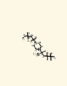 BC(C)(CC(C)(C)C(C)(C)C)N1CCN(C(C)(C)CC(C)(C)SC)CC1